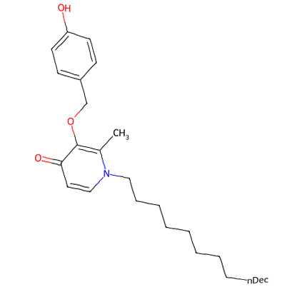 CCCCCCCCCCCCCCCCCCn1ccc(=O)c(OCc2ccc(O)cc2)c1C